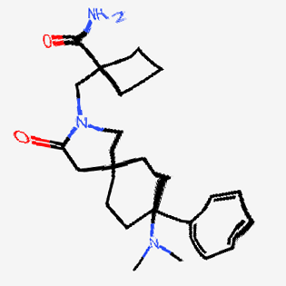 CN(C)C1(c2ccccc2)CCC2(CC1)CC(=O)N(CC1(C(N)=O)CCC1)C2